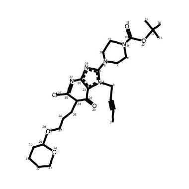 CC#CCn1c(N2CCN(C(=O)OC(C)(C)C)CC2)nc2c1C(=O)C(CCCOC1CCCCO1)C(Cl)=N2